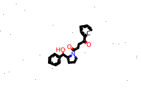 O=C(CCC(=O)N1CCCC1[C@H](O)c1ccccc1)c1ccccc1